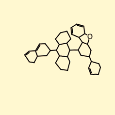 C1=CC2OC3CC(C4C=CCCC4)CC(C4C5CCCCC5C(C5CC=C6C=CCCC6C5)C5CCCCC54)C3C2C=C1